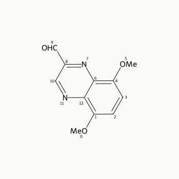 COc1ccc(OC)c2nc(C=O)cnc12